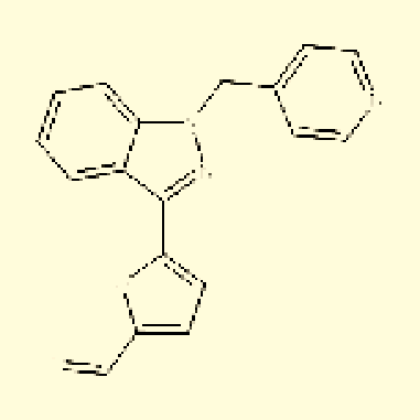 O=Cc1ccc(-c2nn(Cc3ccncc3)c3ccccc23)o1